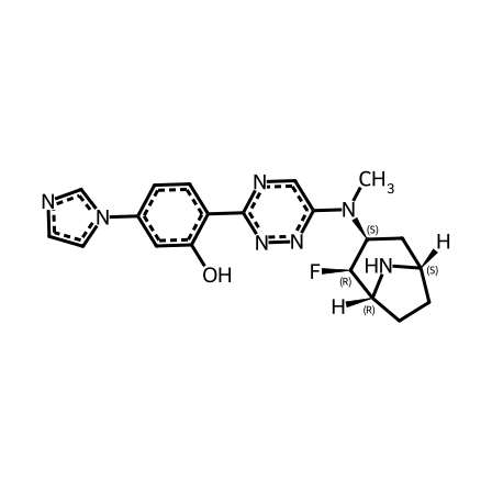 CN(c1cnc(-c2ccc(-n3ccnc3)cc2O)nn1)[C@H]1C[C@@H]2CC[C@@H](N2)[C@H]1F